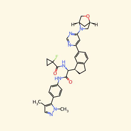 Cc1cnn(C)c1-c1ccc(NC(=O)[C@@H](NC(=O)C2(F)CC2)[C@@H]2CCc3ccc(-c4cc(N5C[C@@H]6C[C@H]5CO6)ncn4)cc32)cc1